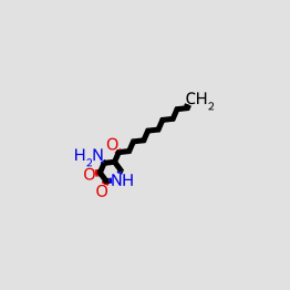 C=CCCCCCCCCC(=O)C1CNC(=O)C(=O)C1N